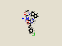 NC(=O)C1CN(c2cccc3c2CC(N2CCOCC2)CC3)CCN1C(=O)[CH]Cc1ccc(Cl)cc1